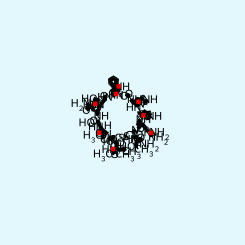 CC[C@H](C)[C@H](NC(C)=O)C(=O)N[C@H]1CSSC[C@@H](C(=O)N[C@H](C(N)=O)[C@@H](C)O)NC(=O)[C@H](CCCN=C(N)N)NC(=O)[C@@H](Cc2c[nH]cn2)NC(=O)[C@H](Cc2c[nH]cn2)NC(=O)CNC(=O)[C@H](Cc2c[nH]c3ccccc23)NC(=O)[C@@H](CC(=O)O)NC(=O)[C@H](CCC(N)=O)NC(=O)[C@@H](CO)NC(=O)[C@H](C(C)C)NC1=O